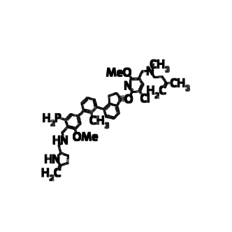 C=C(C)CCN(C)Cc1cc(Cl)c(O[C@H]2CCc3c(-c4cccc(-c5cc(P)c(CNCC6CCC(=C)N6)c(OC)c5)c4C)cccc32)nc1OC